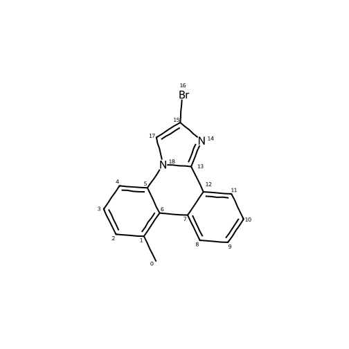 Cc1cccc2c1c1ccccc1c1nc(Br)cn21